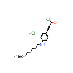 CCCCCCCCCCCCCCCCNc1ccc(C#CC(=O)Cl)cc1.Cl